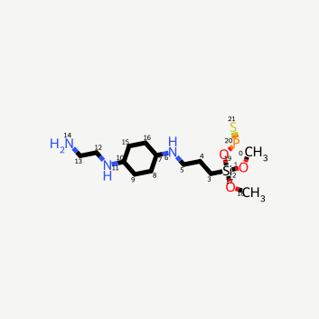 CO[Si](CCCNC1CCC(NCCN)CC1)(OC)OP=S